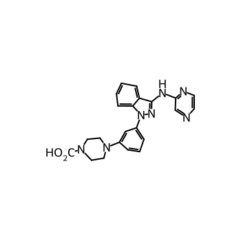 O=C(O)N1CCN(c2cccc(-n3nc(Nc4cnccn4)c4ccccc43)c2)CC1